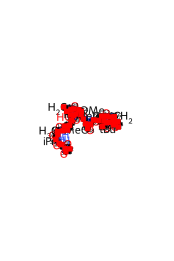 C=C1C[C@H]2[C@H](O)N(C(=O)OCc3ccc(NC(=O)[C@H](C)NC(=O)[C@@H](NC(=O)CCN4C(=O)C=CC4=O)C(C)C)cc3)c3cc(OCc4cc(C(=O)OC)cc(COc5cc6c(cc5OC)C(=O)N5CC(=C)C[C@H]5[C@H](OC5CCCCO5)N6C(=O)OC(C)(C)C)n4)c(OC)cc3C(=O)N2C1